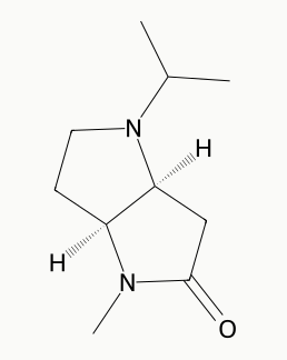 CC(C)N1CC[C@H]2[C@@H]1CC(=O)N2C